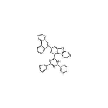 c1ccc(C2=NC(c3ccccc3)NC(c3cc(-c4cc5ccccc5c5ccccc45)cc4oc5cnccc5c34)=N2)cc1